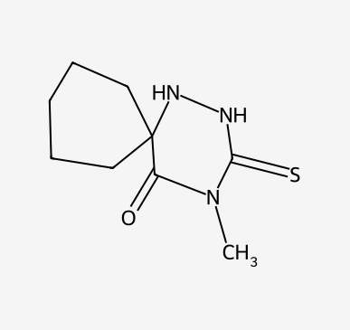 CN1C(=O)C2(CCCCC2)NNC1=S